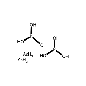 OP(O)O.OP(O)O.[AsH3].[AsH3]